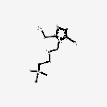 C[Si](C)(C)CCOCn1c(Br)cnc1CO